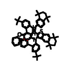 CC(C)(C)c1ccc(Nc2ccc3c(c2)C(C)(C)CCC3(C)C)c(-c2c3c(cc4c2oc2ccccc24)N(c2ccc(C(C)(C)C)cc2-c2ccccc2)c2c(sc4cc5c(cc24)C(C)(C)CCC5(C)C)B3)c1